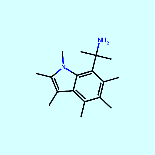 Cc1c(C)c(C(C)(C)N)c2c(c1C)c(C)c(C)n2C